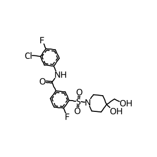 O=C(Nc1ccc(F)c(Cl)c1)c1ccc(F)c(S(=O)(=O)N2CCC(O)(CO)CC2)c1